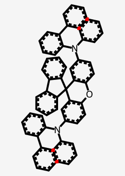 c1ccc(-c2ccccc2N(c2ccccc2)c2ccc3c(c2)C2(c4cc(N(c5ccccc5)c5ccccc5-c5ccccc5)ccc4O3)c3ccccc3-c3ccccc32)cc1